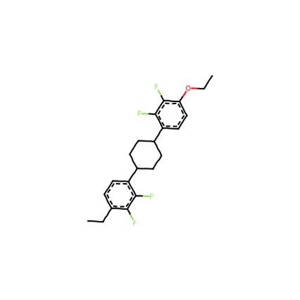 CCOc1ccc(C2CCC(c3ccc(CC)c(F)c3F)CC2)c(F)c1F